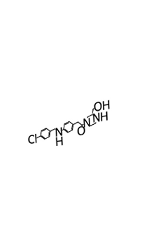 O=C(Cc1ccc(NCc2ccc(Cl)cc2)cc1)N1CCN[C@H](CO)C1